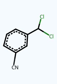 N#Cc1cccc(C(Cl)Cl)c1